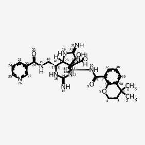 CC1(C)CCOc2c(C(=O)N[C@H]3CN4C(=N)N[C@@H](CNC(=O)c5cccnc5)[C@@H]5NC(=N)N[C@@]54C3(O)O)cccc21